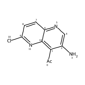 CC(=O)c1c(N)cnc2ccc(Cl)nc12